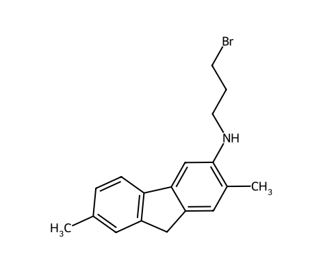 Cc1ccc2c(c1)Cc1cc(C)c(NCCCBr)cc1-2